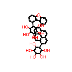 Oc1c(O)c(O)c(-c2ccc3ccc4c(-c5cccc6oc7cccc(-c8c(O)c(O)c(O)c(O)c8O)c7c56)ccc5ccc2c3c54)c(O)c1O